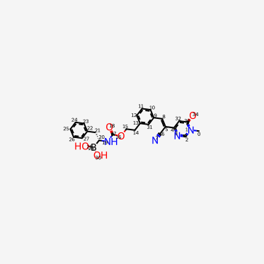 Cn1cnc(C(C#N)=Cc2cccc(CCOC(=O)N[C@@H](Cc3ccccc3)B(O)O)c2)cc1=O